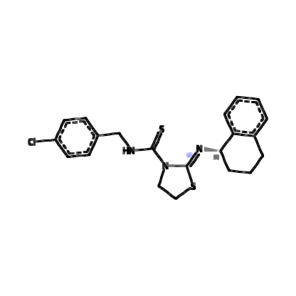 S=C(NCc1ccc(Cl)cc1)N1CCS/C1=N\[C@H]1CCCc2ccccc21